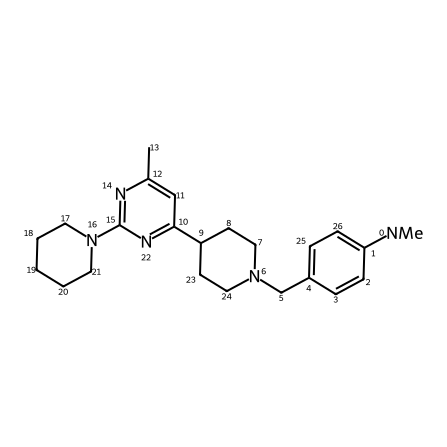 CNc1ccc(CN2CCC(c3cc(C)nc(N4CCCCC4)n3)CC2)cc1